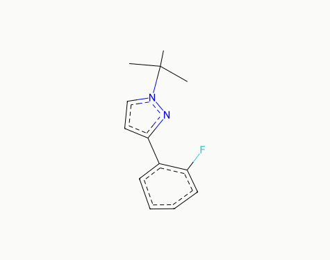 CC(C)(C)n1ccc(-c2ccccc2F)n1